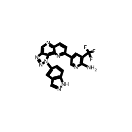 Nc1ncc(-c2ccc3ncc4nnn(-c5ccc6[nH]ncc6c5)c4c3n2)cc1C(F)(F)F